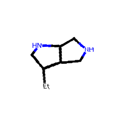 CCC1CNC2CNCC12